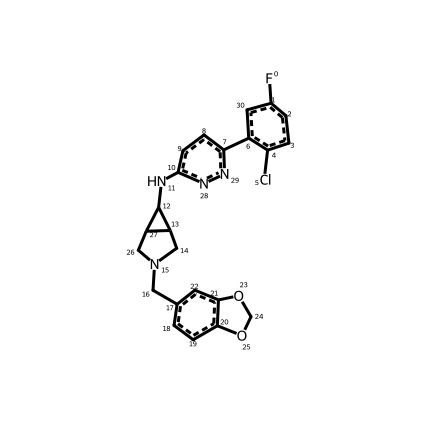 Fc1ccc(Cl)c(-c2ccc(NC3C4CN(Cc5ccc6c(c5)OCO6)CC43)nn2)c1